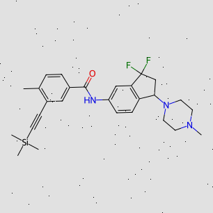 Cc1ccc(C(=O)Nc2ccc3c(c2)C(F)(F)CC3N2CCN(C)CC2)cc1C#C[Si](C)(C)C